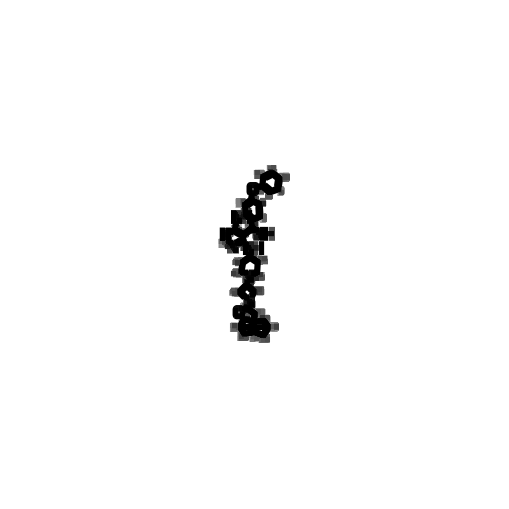 N=C(c1ccc(Oc2ccccc2)cc1)c1c(N)ncnc1NC1CCN(C2CN(C(=O)CC34CC5CC3CC5C4)C2)CC1